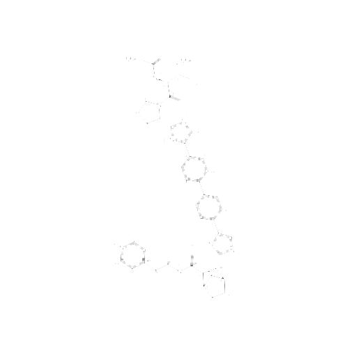 COC(=O)N[C@H](C(=O)N1CCC[C@H]1c1ncc(-c2ccc(-c3ccc(-c4cnc([C@@H]5C6CCC(C6)C5C(=O)NCCc5ccncc5)[nH]4)cc3)cc2)[nH]1)[C@@H](C)OC